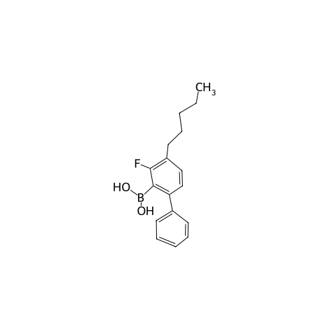 CCCCCc1ccc(-c2ccccc2)c(B(O)O)c1F